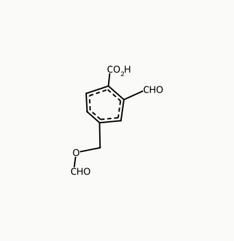 O=COCc1ccc(C(=O)O)c(C=O)c1